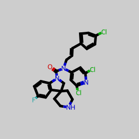 O=C(N(CC=Cc1ccc(Cl)cc1)c1cc(Cl)nc(Cl)c1)N1CC2(CCNCC2)c2cc(F)ccc21